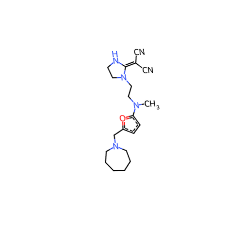 CN(CCN1CCNC1=C(C#N)C#N)c1ccc(CN2CCCCCC2)o1